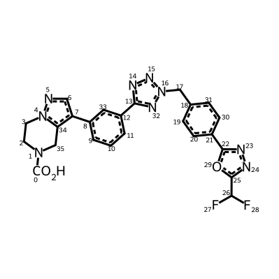 O=C(O)N1CCn2ncc(-c3cccc(-c4nnn(Cc5ccc(-c6nnc(C(F)F)o6)cc5)n4)c3)c2C1